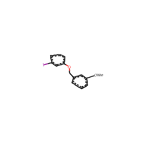 COc1cccc(COc2cccc(I)c2)c1